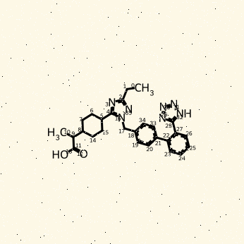 CCc1nc(C2CCC(C(C)C(=O)O)CC2)n(Cc2ccc(-c3ccccc3-c3nnn[nH]3)cc2)n1